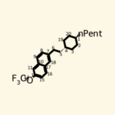 CCCCC[C@H]1CC[C@H](CCc2ccc3cc(OC(F)(F)F)ccc3c2)CC1